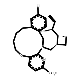 C=C[C@H](OC)[C@@H]1CC[C@H]1CN1Cc2ccc(Cl)cc2CCCCOc2ccc(C(=O)O)nc21